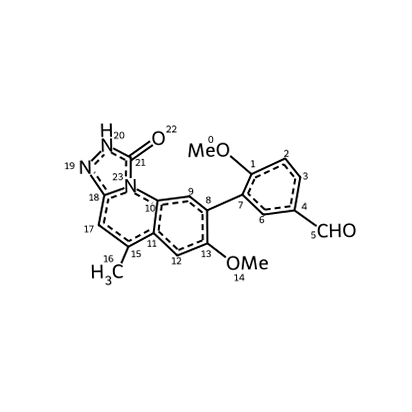 COc1ccc(C=O)cc1-c1cc2c(cc1OC)c(C)cc1n[nH]c(=O)n12